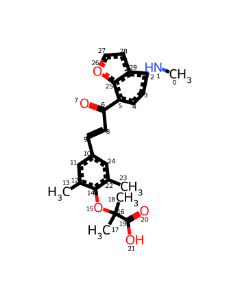 CNc1ccc(C(=O)C=Cc2cc(C)c(OC(C)(C)C(=O)O)c(C)c2)c2occc12